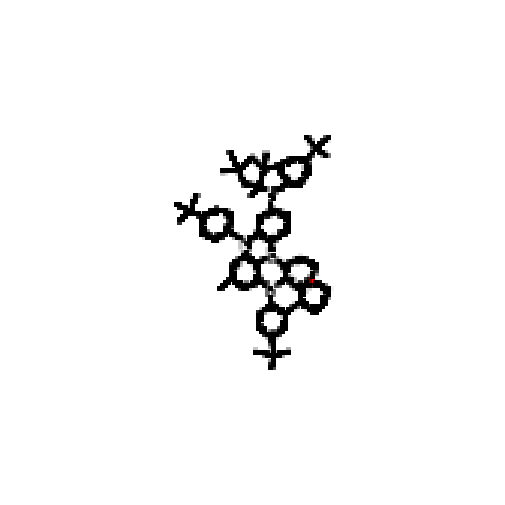 Cc1cc2c3c(c1)N(c1ccc(C(C)(C)C)cc1-c1ccccc1)c1ccccc1B3c1ccc(N3c4ccc(C(C)(C)C)cc4C4(C)CC(C)(C)CC34C)cc1N2c1ccc(C(C)(C)C)cc1